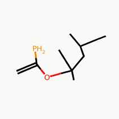 C=C(P)OC(C)(C)CC(C)C